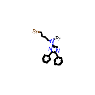 CC(C)N(CCCCBr)c1cnc(-c2ccccc2)c(-c2ccccc2)n1